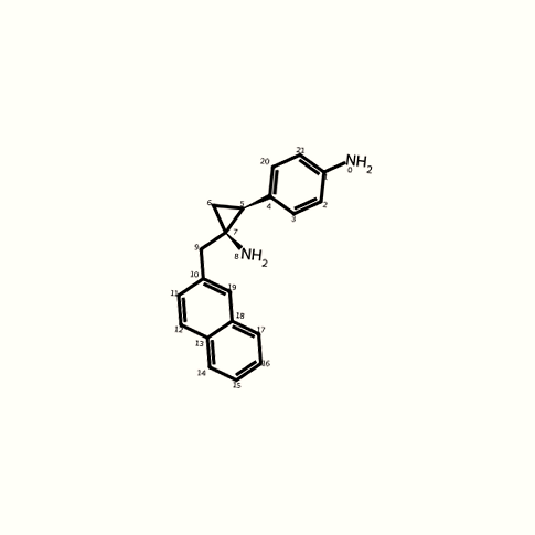 Nc1ccc([C@@H]2C[C@@]2(N)Cc2ccc3ccccc3c2)cc1